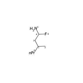 CCCC(C)CC(N)F